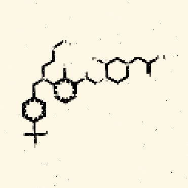 COCCN(Cc1ccc(C(F)(F)F)cc1)c1ncnc(NC[C@H]2CCN(CC(N)=O)C[C@@H]2O)c1F